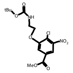 COC(=O)c1cc(OCCNC(=O)OC(C)(C)C)c(Cl)c([N+](=O)[O-])c1